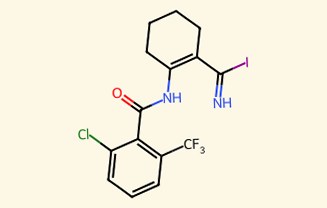 N=C(I)C1=C(NC(=O)c2c(Cl)cccc2C(F)(F)F)CCCC1